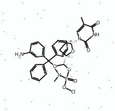 Cc1cn([C@H]2CC[C@@H](C(OC(c3ccccc3)(c3ccccc3)c3cccc(N)c3)OP(=O)(OCl)N(C)C)O2)c(=O)[nH]c1=O